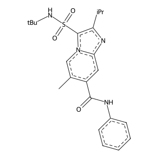 Cc1cn2c(S(=O)(=O)NC(C)(C)C)c(C(C)C)nc2cc1C(=O)Nc1ccccc1